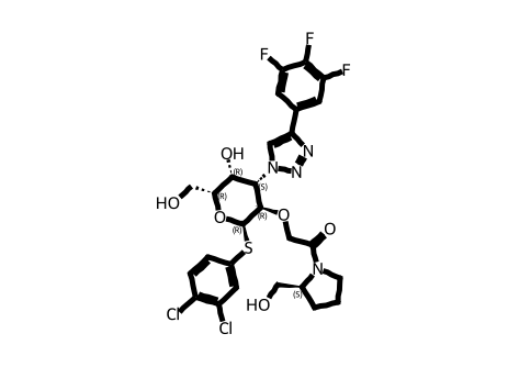 O=C(CO[C@@H]1[C@@H](n2cc(-c3cc(F)c(F)c(F)c3)nn2)[C@@H](O)[C@@H](CO)O[C@@H]1Sc1ccc(Cl)c(Cl)c1)N1CCC[C@H]1CO